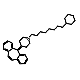 C1=Cc2ccccc2C(=C2CCN(CCCCCCCCC3CCCCC3)CC2)c2ccccc21